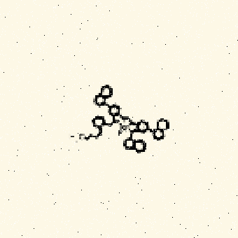 C=CC/C=C\c1ccccc1CC1=[N+]2B(F)n3c(c4ccc(-c5cccc6c5CCC=C6)cc4c3-c3cccc4ccccc34)C=C2c2ccc(-c3cccc4ccccc34)cc21